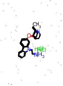 CC=C1C(Oc2ccc3c4ccccc4n(CCN)c3c2)C2CCN1CC2.Cl.Cl